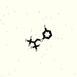 Fc1cccc(OCC(C(F)(F)F)C(F)(F)F)c1